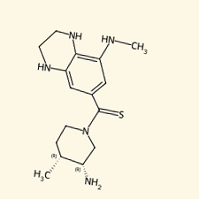 CNc1cc(C(=S)N2CC[C@@H](C)[C@@H](N)C2)cc2c1NCCN2